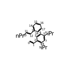 C=Cc1ccc(C(C)C)cc1C(C)C.CCCC=Cc1ccccc1